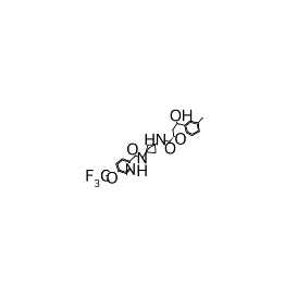 Cc1ccc2c(c1)[C@H](O)C[C@H](C(=O)NC13CC(NC(=O)c4ccc(OC(F)(F)F)cn4)(C1)C3)O2